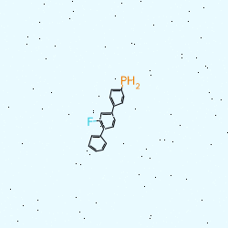 Fc1cc(-c2ccc(P)cc2)ccc1-c1ccccc1